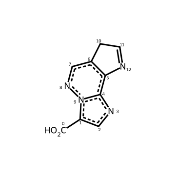 O=C(O)c1cnc2c3c(cnn12)CC=N3